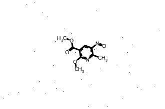 COC(=O)c1cc(N=O)c(C)nc1OC